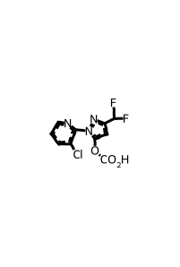 O=C(O)Oc1cc(C(F)F)nn1-c1ncccc1Cl